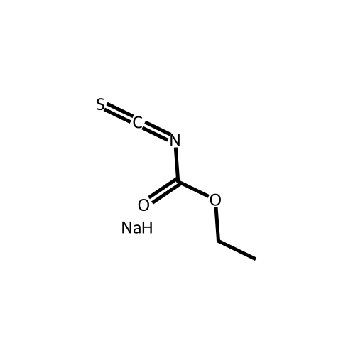 CCOC(=O)N=C=S.[NaH]